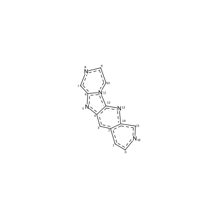 c1cc2cc3nc4cnccn4c3nc2cn1